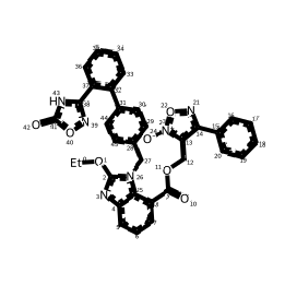 CCOc1nc2cccc(C(=O)OCc3c(-c4ccccc4)no[n+]3[O-])c2n1Cc1ccc(-c2ccccc2-c2noc(=O)[nH]2)cc1